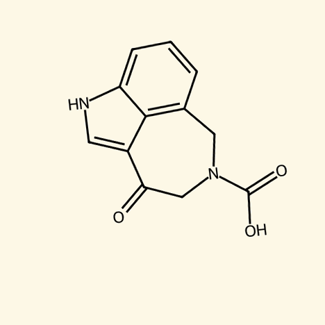 O=C1CN(C(=O)O)Cc2cccc3[nH]cc1c23